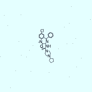 CN1C(=O)C(NC(=S)N2CCN(C3CCCC3)CC2)N=C(c2ccccc2)c2cc(Cl)ccc21